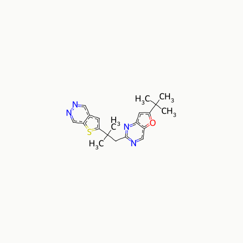 CC(C)(C)c1cc2nc(CC(C)(C)c3cc4cnncc4s3)ncc2o1